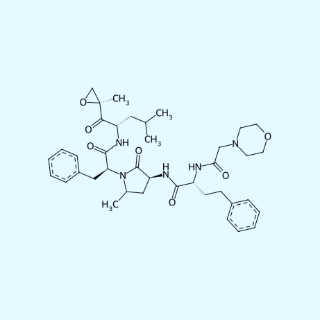 CC(C)C[C@H](NC(=O)[C@H](Cc1ccccc1)N1C(=O)[C@@H](NC(=O)[C@@H](CCc2ccccc2)NC(=O)CN2CCOCC2)CC1C)C(=O)[C@]1(C)CO1